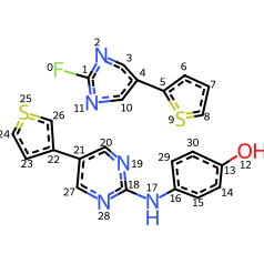 Fc1ncc(-c2cccs2)cn1.Oc1ccc(Nc2ncc(-c3ccsc3)cn2)cc1